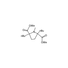 CCCCC1(C(=O)OC)CCC(CCCC)(C(=O)OC)N1C